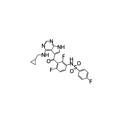 O=C(c1c(F)ccc(NS(=O)(=O)c2ccc(F)cc2)c1F)c1c[nH]c2ncnc(NCC3CC3)c12